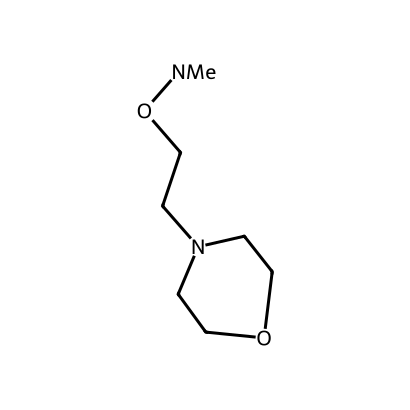 CNOCCN1CCOCC1